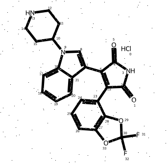 Cl.O=C1NC(=O)C(c2cn(C3CCNCC3)c3ccccc23)=C1c1cccc2c1OC(F)(F)O2